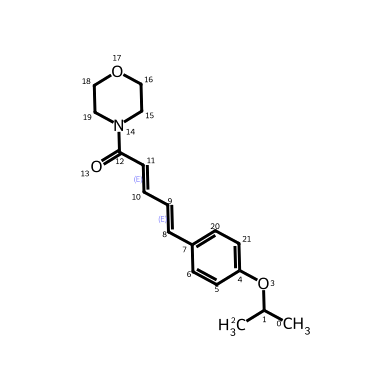 CC(C)Oc1ccc(/C=C/C=C/C(=O)N2CCOCC2)cc1